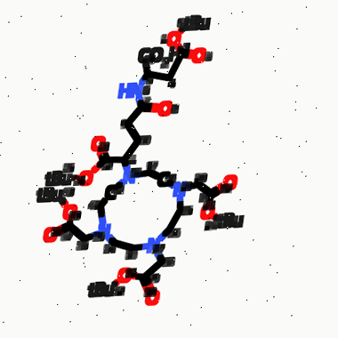 CC(C)(C)OC(=O)CC(NC(=O)CCC(C(=O)OC(C)(C)C)N1CCN(CC(=O)OC(C)(C)C)CCN(CC(=O)OC(C)(C)C)CCN(CC(=O)OC(C)(C)C)CC1)C(=O)O